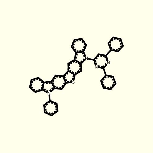 c1ccc(-c2cc(-n3c4ccccc4c4cc5c(cc43)sc3cc4c(cc35)c3ccccc3n4-c3ccccc3)nc(-c3ccccc3)n2)cc1